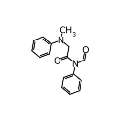 CN(CC(=O)N(C=O)c1ccccc1)c1ccccc1